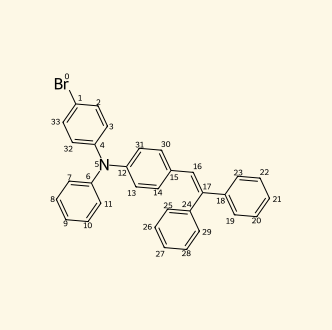 Brc1ccc(N(c2ccccc2)c2ccc(C=C(c3ccccc3)c3ccccc3)cc2)cc1